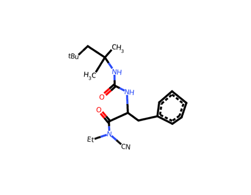 CCN(C#N)C(=O)C(Cc1ccccc1)NC(=O)NC(C)(C)CC(C)(C)C